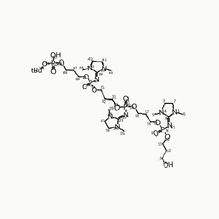 CN1CCN(C)C1=NP(=O)(OCCCO)OCCCOP(=O)(N=C1N(C)CCN1C)OCCCOP(=O)(N=C1N(C)CCN1C)OCCCOP(=O)(O)OC(C)(C)C